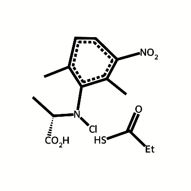 CCC(=O)S.Cc1ccc([N+](=O)[O-])c(C)c1N(Cl)[C@@H](C)C(=O)O